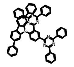 c1ccc(-c2ccc3c4ccc(-c5ccccc5)cc4n(-c4ccc(-c5nc(-c6ccccc6)nc(-c6ccccc6)n5)cc4-c4nc(-c5ccccc5)nc(-c5ccccc5)n4)c3c2)cc1